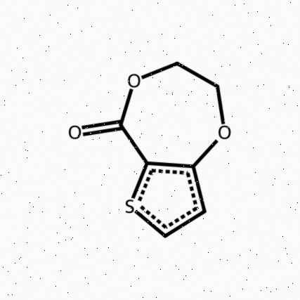 O=C1OCCOc2ccsc21